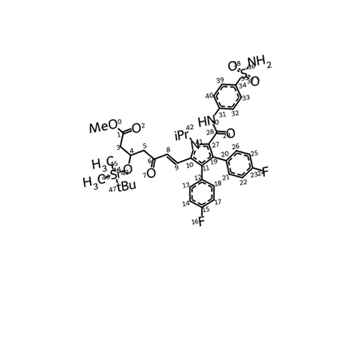 COC(=O)CC(CC(=O)C=Cc1c(-c2ccc(F)cc2)c(-c2ccc(F)cc2)c(C(=O)Nc2ccc(S(N)(=O)=O)cc2)n1C(C)C)O[Si](C)(C)C(C)(C)C